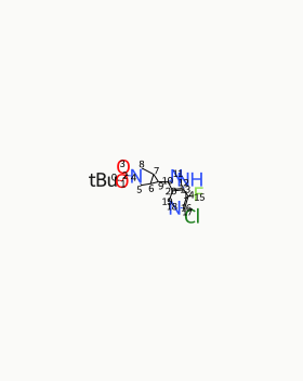 CC(C)(C)OC(=O)N1CC2C(C1)C2c1n[nH]c2c(F)c(Cl)ncc12